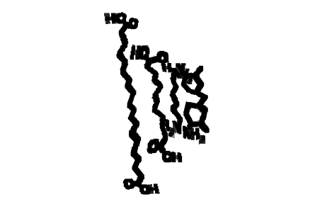 CC1CC(CC2CCC(N)C(C)C2)CCC1N.NCCCCCCN.O=C(O)CCCCCCCCCCC(=O)O.O=C(O)CCCCCCCCCCCCCCCCCCC(=O)O